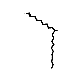 [CH2]C=CCCCCCCCC(C)CCCCCCCCCC[CH2]